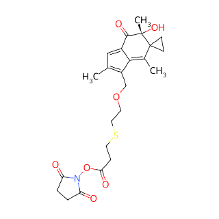 CC1=C(COCCSCCC(=O)ON2C(=O)CCC2=O)C2=C(C)C3(CC3)[C@@](C)(O)C(=O)C2=C1